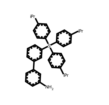 CC(C)c1ccc(S(c2ccc(C(C)C)cc2)(c2ccc(C(C)C)cc2)c2cccc(-c3cccc(N)c3)c2)cc1